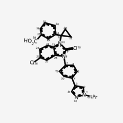 CCCn1cc(-c2ccc(-n3c(=O)n(C4(c5cccc(C(=O)O)c5)CC4)c4ccc(Cl)cc43)cc2)cn1